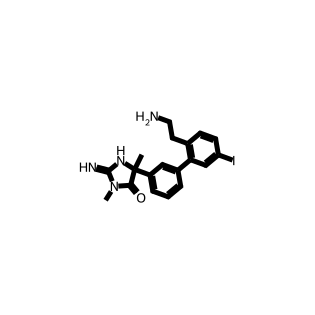 CN1C(=N)NC(C)(c2cccc(-c3cc(I)ccc3CCN)c2)C1=O